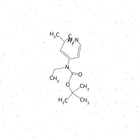 CCN(C(=O)OC(C)(C)C)C(/C=C\N)=C/C(C)C